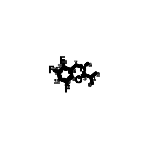 CC(C)C(=O)N(C)Cc1cc(F)cc(F)c1F